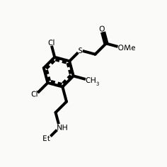 CCNCCc1c(Cl)cc(Cl)c(SCC(=O)OC)c1C